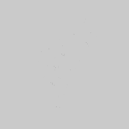 CC(C)COC(=O)CN(C(=O)OC(C)(C)C)c1cccc(C(C)C)c1NC(=O)NC(=O)c1cc(F)c(Cl)nc1Cl